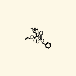 C=CCOC(=O)C(CCNC)NC(=O)OCc1ccccc1.Cl